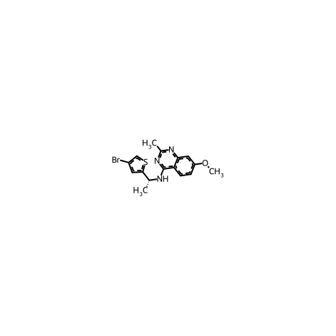 COc1ccc2c(N[C@H](C)c3cc(Br)cs3)nc(C)nc2c1